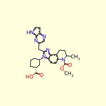 COC(=O)N1c2ccc3c(nc(Cc4cnc5cc[nH]c5n4)n3[C@@H]3CCC[C@@H](C(=O)O)C3)c2CCC1C